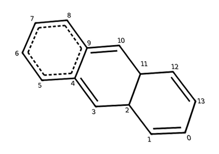 C1=CC2C=c3ccccc3=CC2C=C1